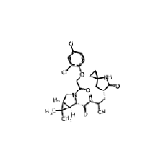 CC1(C)[C@@H]2[C@@H](C(=O)N[C@H](C#N)C[C@@H]3CC4(CC4)NC3=O)N(C(=O)COc3ccc(Cl)cc3Cl)C[C@@H]21